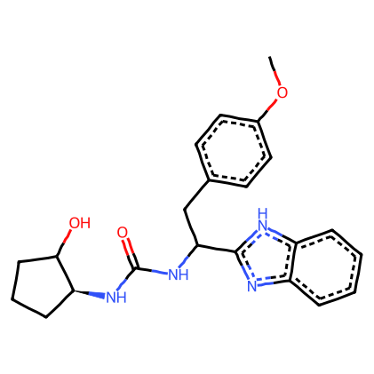 COc1ccc(CC(NC(=O)N[C@H]2CCCC2O)c2nc3ccccc3[nH]2)cc1